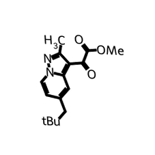 COC(=O)C(=O)c1c(C)nn2ccc(CC(C)(C)C)cc12